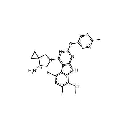 CNc1c(F)cc(F)c2c1[nH]c1nc(Oc3cnc(C)nc3)nc(N3C[C@H](N)C4(CC4)C3)c12